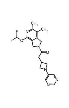 Cc1nc(OC(F)F)c2c(c1C)CN(C(=O)CC1CN(c3cncnc3)C1)C2